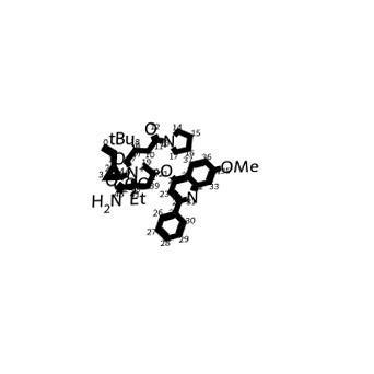 C=CC1CC1(C(=O)[O-])[N+]1(C(=O)[C@@H](CC(=O)N2CCCC2)C(C)(C)C)C[C@H](Oc2cc(-c3ccccc3)nc3cc(OC)ccc23)C[C@@]1(CC)C(N)=O